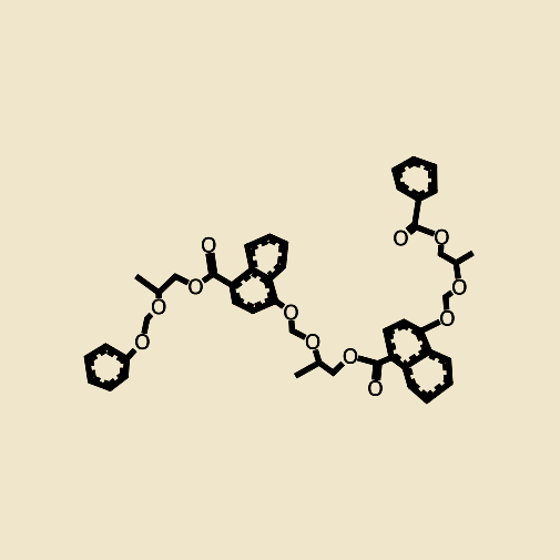 CC(COC(=O)c1ccccc1)OCOc1ccc(C(=O)OCC(C)OCOc2ccc(C(=O)OCC(C)OCOc3ccccc3)c3ccccc23)c2ccccc12